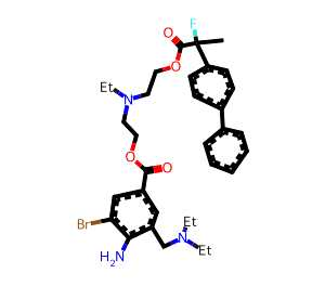 CCN(CCOC(=O)c1cc(Br)c(N)c(CN(CC)CC)c1)CCOC(=O)C(C)(F)c1ccc(-c2ccccc2)cc1